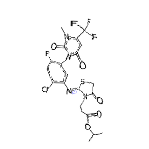 CC(C)OC(=O)CN1C(=O)CS/C1=N\c1cc(-n2c(=O)cc(C(F)(F)F)n(C)c2=O)c(F)cc1Cl